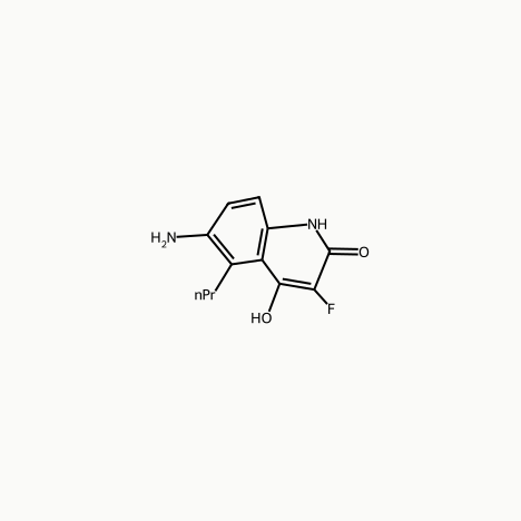 CCCc1c(N)ccc2[nH]c(=O)c(F)c(O)c12